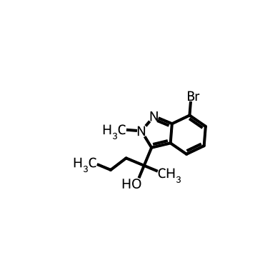 CCCC(C)(O)c1c2cccc(Br)c2nn1C